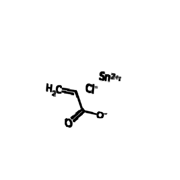 C=CC(=O)[O-].[Cl-].[Sn+2]